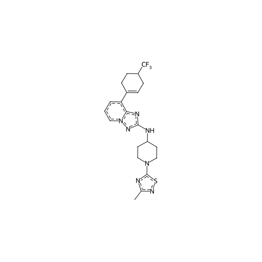 Cc1nsc(N2CCC(Nc3nc4c(C5=CCC(C(F)(F)F)CC5)cccn4n3)CC2)n1